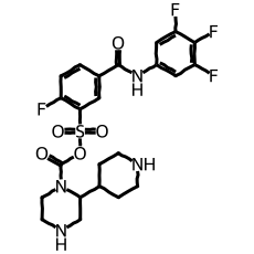 O=C(Nc1cc(F)c(F)c(F)c1)c1ccc(F)c(S(=O)(=O)OC(=O)N2CCNCC2C2CCNCC2)c1